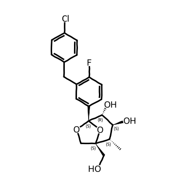 C[C@H]1[C@H](O)[C@@H](O)[C@@]2(c3ccc(F)c(Cc4ccc(Cl)cc4)c3)OC[C@]1(CO)O2